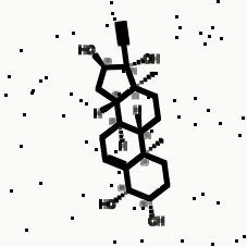 C#C[C@]1(O)[C@H](O)C[C@H]2[C@@H]3CC=C4[C@@H](O)[C@@H](O)CC[C@]4(C)[C@H]3CC[C@@]21C